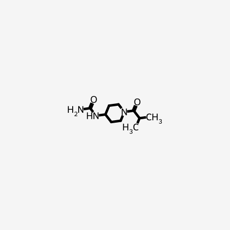 CC(C)C(=O)N1CCC(NC(N)=O)CC1